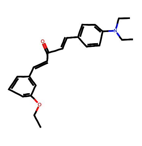 CCOc1cccc(/C=C/C(=O)/C=C/c2ccc(N(CC)CC)cc2)c1